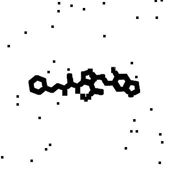 NC(=O)c1c(OCc2cc3c(cc2F)CCO3)nsc1NC(=O)NCCN1CCCCC1